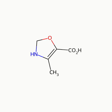 CC1=C(C(=O)O)OCN1